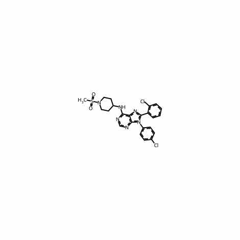 CS(=O)(=O)N1CCC(Nc2ncnc3c2nc(-c2ccccc2Cl)n3-c2ccc(Cl)cc2)CC1